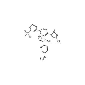 Cn1nc(C(F)(F)F)cc1-c1ccc(-c2cccc(S(C)(=O)=O)c2)cc1N(N)/C(=C\N)c1ccc(OC(F)(F)F)cc1